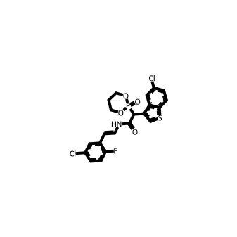 O=C(NC=Cc1cc(Cl)ccc1F)C(c1csc2ccc(Cl)cc12)P1(=O)OCCCO1